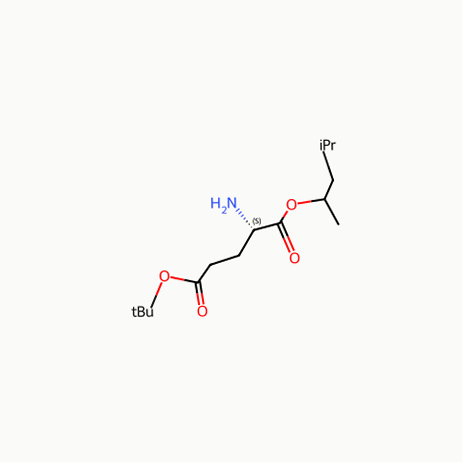 CC(C)CC(C)OC(=O)[C@@H](N)CCC(=O)OC(C)(C)C